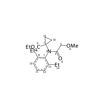 CCOC(=O)C1(N(C(=O)COC)c2c(CC)cccc2CC)CC1